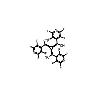 N#CC(=C1C(=C(C#N)c2c(F)c(F)nc(F)c2F)C1=C(C#N)c1c(F)c(F)nc(F)c1F)c1c(F)c(F)nc(F)c1F